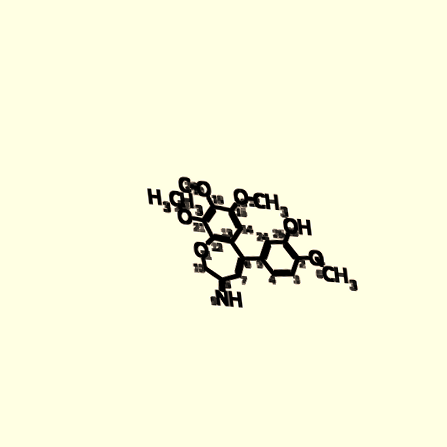 COc1ccc(C2=CC(=N)COc3c2cc(OC)c(OC)c3OC)cc1O